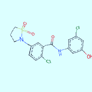 O=C(Nc1cc(O)cc(Cl)c1)c1cc(N2CCCS2(=O)=O)ccc1Cl